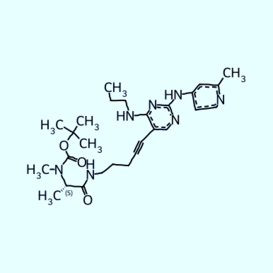 CCCNc1nc(Nc2ccnc(C)c2)ncc1C#CCCCNC(=O)[C@H](C)N(C)C(=O)OC(C)(C)C